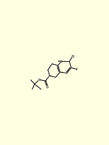 CC(C)(C)OC(=O)N1CCC2=C(C=C(F)C(Cl)N2)C1